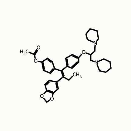 CCC(=C(c1ccc(OC(C)=O)cc1)c1ccc(OC(CN2CCCCC2)CN2CCCCC2)cc1)c1ccc2c(c1)OCO2